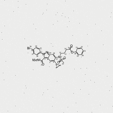 CNC(=O)c1c2cc(C3CC3)c(N(CCCC(=O)Oc3ccccc3)S(C)(=O)=O)cc2nn1-c1ccc(Br)cc1